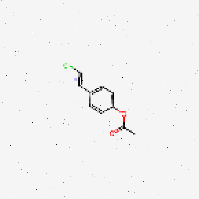 CC(=O)Oc1ccc(/C=C/Cl)cc1